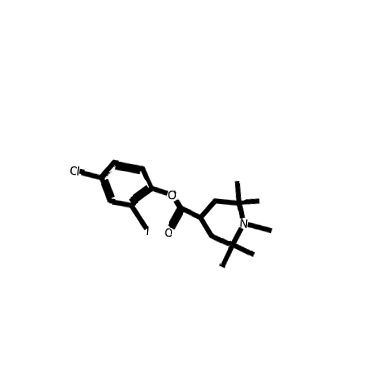 CN1C(C)(C)CC(C(=O)Oc2ccc(Cl)cc2I)CC1(C)C